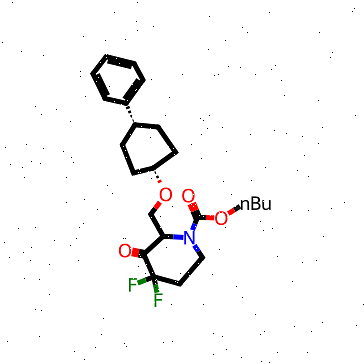 CCCCOC(=O)N1CCC(F)(F)C(=O)C1CO[C@H]1CC[C@@H](c2ccccc2)CC1